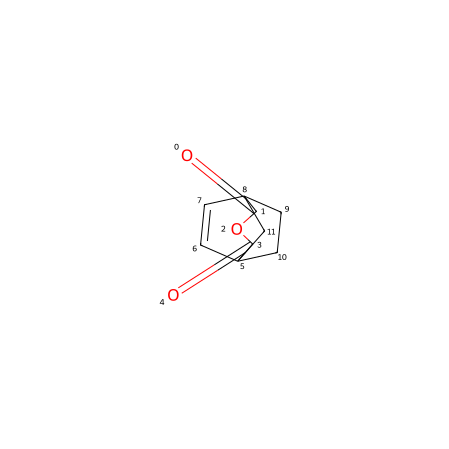 O=C1OC(=O)C23C=CC1(CC2)C3